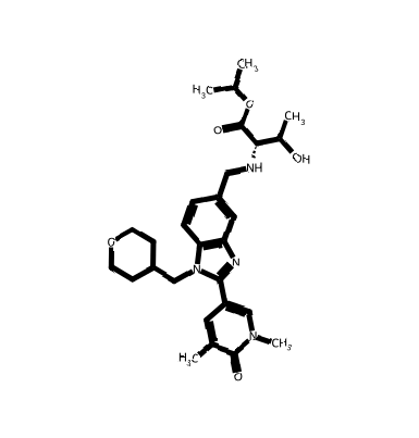 Cc1cc(-c2nc3cc(CN[C@H](C(=O)OC(C)C)C(C)O)ccc3n2CC2CCOCC2)cn(C)c1=O